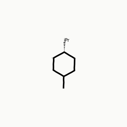 CC1C[CH][C@H](C(C)C)CC1